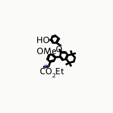 CCOC(=O)/C=C/c1ccc(OC)c(-c2cc3c(cc2OCc2cccc(O)c2)C(C)(C)CCC3(C)C)c1